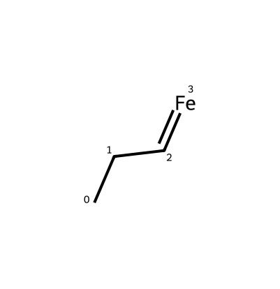 CC[CH]=[Fe]